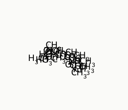 CCC(C(=O)[C@@H](C)[C@@H](O)C1(C)C[C@]12O[C@@H]([C@@H](CC)C(=O)O)CC[C@@H]2C)[C@H]1O[C@]2(C=C[C@@H](NC(=O)OCC(C)C)[C@]3(CC[C@@](C)([C@H]4CC[C@](O)(CC)[C@H](C)O4)O3)O2)[C@H](C)C[C@@H]1C